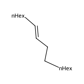 [CH2]CCCCCCCC=CC[CH]CCCC